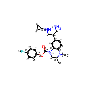 CC(=O)N1c2ccc(C(CN)CNC3CC3)cc2N(C(=O)Oc2ccc(F)cc2)C[C@@H]1C